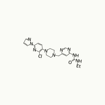 CCNC(=O)Nc1cc(CN2CCN(c3ccc(-n4cccn4)nc3Cl)CC2)ncn1